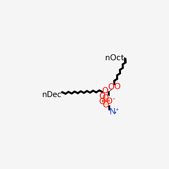 CCCCCCCC/C=C\CCCCCCCC(=O)OC[C@H](COP(=O)([O-])OCC[N+](C)(C)C)OC(=O)CCCCCCCCCCCCCCCCCCCCCCC